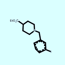 CCOC(=O)C1CCN(Cc2cccc(I)c2)CC1